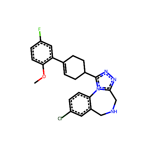 COc1ccc(F)cc1C1=CCC(c2nnc3n2-c2ccc(Cl)cc2CNC3)CC1